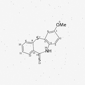 COc1ccc2c(c1)Sc1ccccc1C(=S)N2